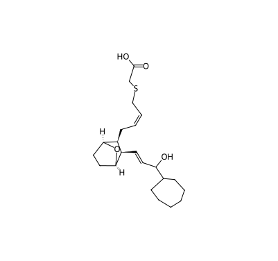 O=C(O)CSC/C=C\C[C@H]1[C@@H](/C=C/C(O)C2CCCCCC2)[C@H]2CC[C@@H]1O2